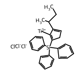 CCC(C)C1=CCC([Si](c2ccccc2)(c2ccccc2)c2ccccc2)=[C]1[Ti+3].[Cl-].[Cl-].[Cl-]